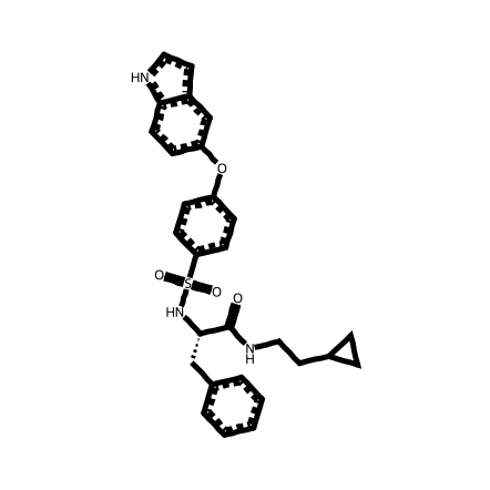 O=C(N[CH]CC1CC1)[C@H](Cc1ccccc1)NS(=O)(=O)c1ccc(Oc2ccc3[nH]ccc3c2)cc1